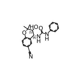 CC1(C)Oc2ccc(C#N)cc2[C@@H](NC(=O)Nc2ccccc2)[C@@H]1O